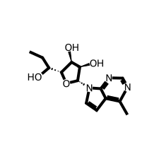 CCC(O)[C@H]1O[C@@H](n2ccc3c(C)ncnc32)[C@H](O)[C@@H]1O